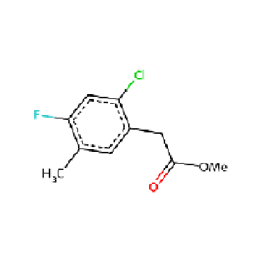 COC(=O)Cc1cc(C)c(F)cc1Cl